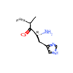 CCCCCCC(C)C(=O)[C@H](N)Cc1c[nH]cn1